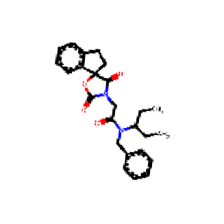 CCC(CC)N(Cc1ccccc1)C(=O)CN1C(=O)OC2(CCc3ccccc32)C1=O